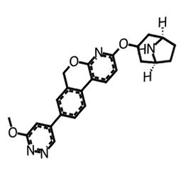 COc1cc(-c2ccc3c(c2)COc2nc(OC4C[C@H]5CC[C@@H](C4)N5)ccc2-3)cnn1